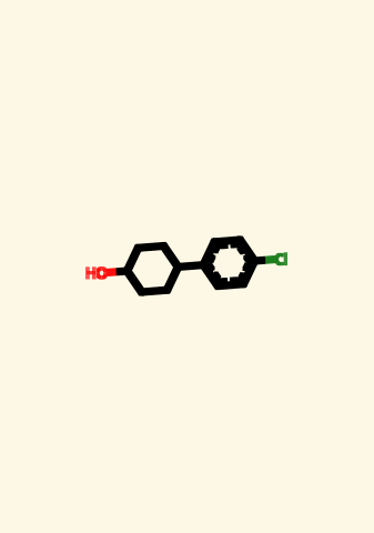 OC1CCC(c2ccc(Cl)cc2)CC1